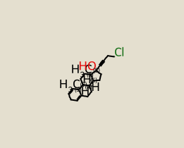 C[C@]12C=CCC=C1CC[C@@H]1[C@@H]2CC[C@@]2(C)[C@H]1CC[C@@]2(O)C#CCCCl